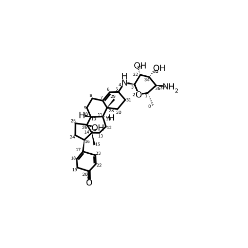 C[C@@H]1O[C@@H](NC2C=C3CC[C@@H]4[C@H](CC[C@]5(C)[C@@H](C6=CCC(=O)C=C6)CC[C@]45O)[C@@]3(C)CC2)[C@H](O)[C@H](O)[C@H]1N